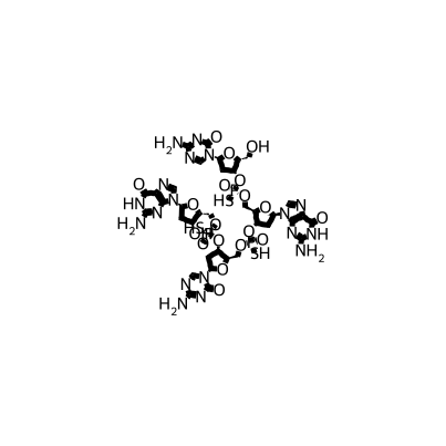 Nc1ncn([C@H]2C[C@@H](OP(=O)(S)OC[C@H]3O[C@@H](n4cnc5c(=O)[nH]c(N)nc54)C[C@H]3OP(=O)(S)OC[C@H]3O[C@@H](n4cnc(N)nc4=O)C[C@H]3OP(=O)(S)OC[C@H]3O[C@@H](n4cnc5c(=O)[nH]c(N)nc54)C[C@H]3O)[C@@H](CO)O2)c(=O)n1